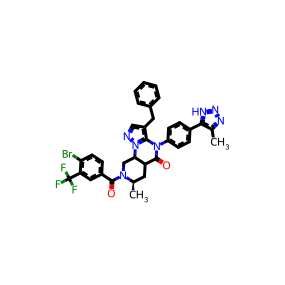 Cc1nn[nH]c1-c1ccc(N2C(=O)C3C[C@@H](C)N(C(=O)c4ccc(Br)c(C(F)(F)F)c4)CC3n3ncc(Cc4ccccc4)c32)cc1